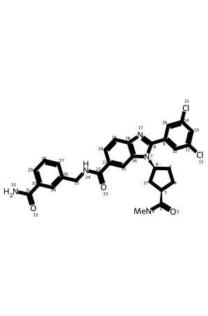 CNC(=O)[C@@H]1CC[C@H](n2c(-c3cc(Cl)cc(Cl)c3)nc3ccc(C(=O)NCc4cccc(C(N)=O)c4)cc32)C1